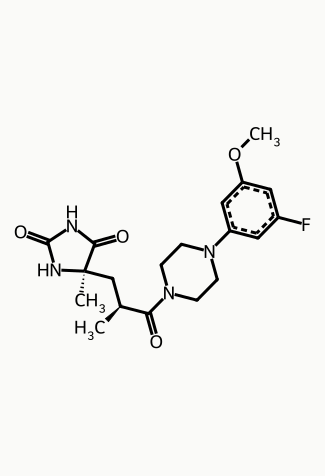 COc1cc(F)cc(N2CCN(C(=O)[C@@H](C)C[C@@]3(C)NC(=O)NC3=O)CC2)c1